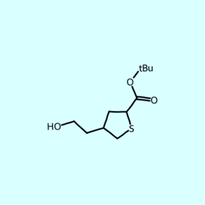 CC(C)(C)OC(=O)C1CC(CCO)CS1